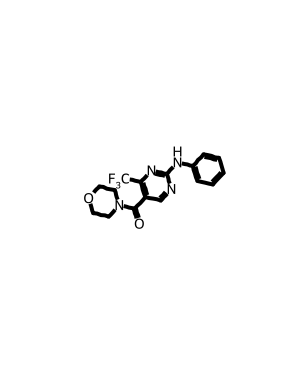 O=C(c1cnc(Nc2ccccc2)nc1C(F)(F)F)N1CCOCC1